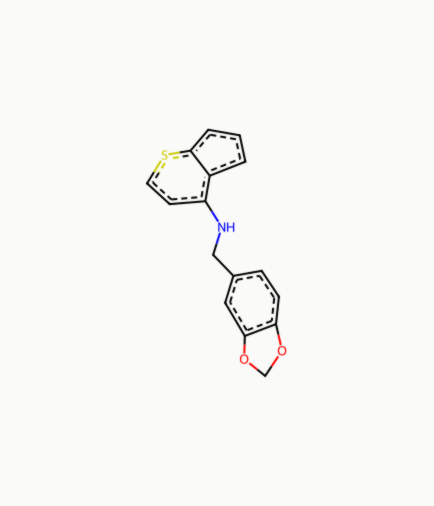 c1cc2sccc(NCc3ccc4c(c3)OCO4)c-2c1